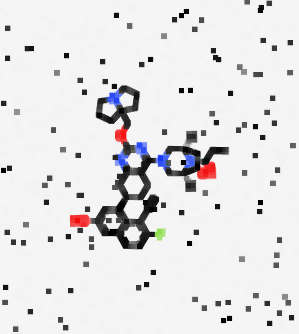 C#Cc1c(F)ccc2cc(O)cc([C@@H]3CCc4c(nc(OCC56CCCN5CCC6)nc4N4C[C@H]5C[C@H](O)[C@@H](C4)N5C(=O)C=C)C3)c12